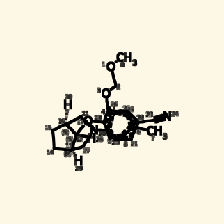 COCOc1cc(C)ccc1O[C@@H]1[C@@H]2CC[C@H]1CN(c1ccc(C#N)cn1)C2